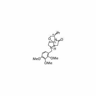 COc1ccc(CN2CC[C@@]34OC[C@@H](C(C)C)N3C(=O)C[C@@H]24)c(OC)c1OC